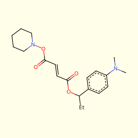 CCC(OC(=O)/C=C/C(=O)ON1CCCCC1)c1ccc(N(C)C)cc1